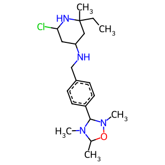 CCC1(C)CC(NCc2ccc(C3N(C)OC(C)N3C)cc2)CC(Cl)N1